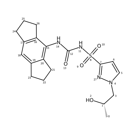 C[C@H](O)Cn1ccc(S(=O)(=O)NC(=O)Nc2c3c(cc4c2CCC4)CCC3)n1